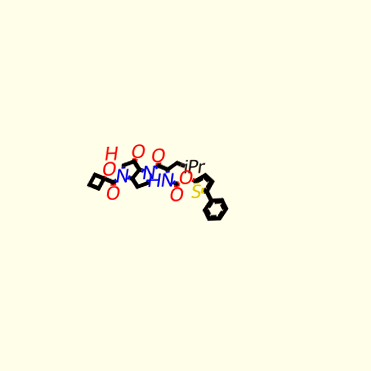 CC(C)CC(NC(=O)Oc1ccc(-c2ccccc2)s1)C(=O)N1CCC2C1C(=O)CN2C(=O)C1(O)CCC1